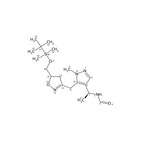 C[C@H](NC=O)c1cnn(C)c1CC1=NOC(CO[Si](C)(C)C(C)(C)C)C1